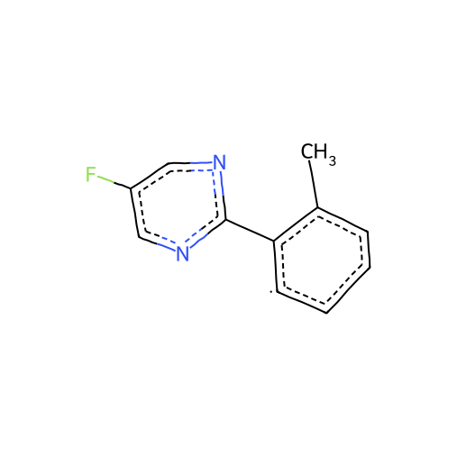 Cc1ccc[c]c1-c1ncc(F)cn1